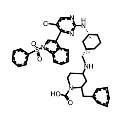 O=C(O)N1CCC(NC[C@H]2CCC[C@@H](Nc3ncc(Cl)c(-c4cn(S(=O)(=O)c5ccccc5)c5ccccc45)n3)C2)CC1Cc1ccccc1